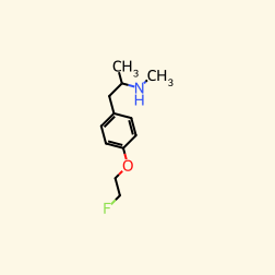 CNC(C)Cc1ccc(OCCF)cc1